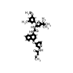 COCC(=O)Nc1cc(Oc2ccc(NC(=O)Nc3cc(C(C)(C)C)nn3-c3cc(C)cc(OC)c3)c3ccccc23)ccn1